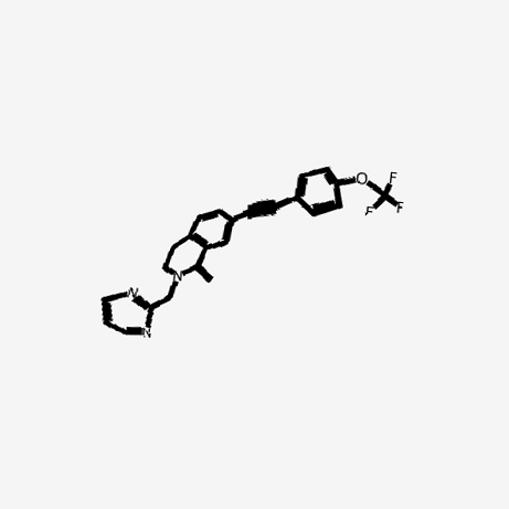 C=C1c2cc(C#Cc3ccc(OC(F)(F)F)cc3)ccc2CCN1Cc1ncccn1